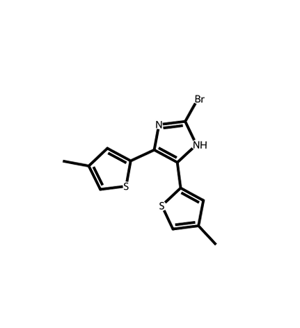 Cc1csc(-c2nc(Br)[nH]c2-c2cc(C)cs2)c1